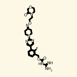 N=C(N)NC(=O)OCc1cccc(-c2cnc(N3CCC(=NOCCN4CCOCC4=O)CC3)nc2)c1F